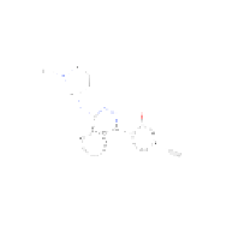 C#Cc1ccc(-c2nnc(NC3CCCN(C(C)C)C3)c3ccccc23)c(O)c1